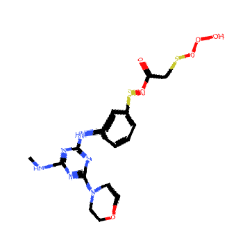 CNc1nc(Nc2cccc(SOC(=O)CSOOO)c2)nc(N2CCOCC2)n1